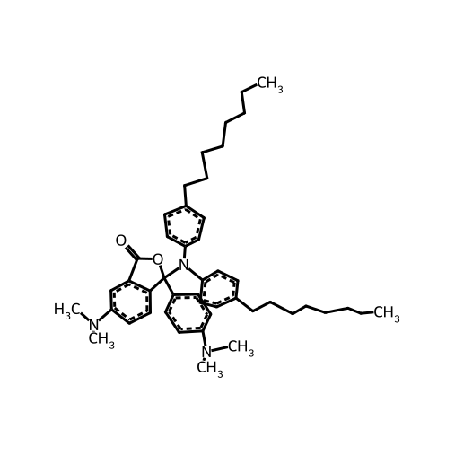 CCCCCCCCc1ccc(N(c2ccc(CCCCCCCC)cc2)C2(c3ccc(N(C)C)cc3)OC(=O)c3cc(N(C)C)ccc32)cc1